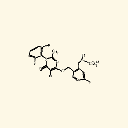 CCN(Cc1cc(F)ccc1COc1nc(C)n(-c2c(F)cccc2F)c(=O)c1Br)C(=O)O